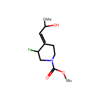 COC(O)C=C1CCN(C(=O)OC(C)(C)C)CC1F